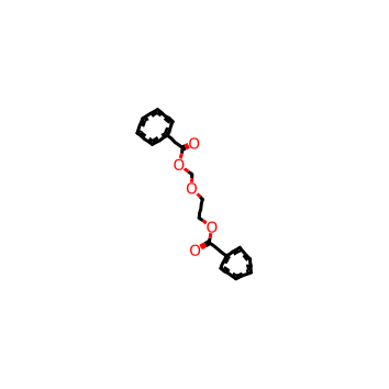 O=C(OCCOCOC(=O)c1ccccc1)c1ccccc1